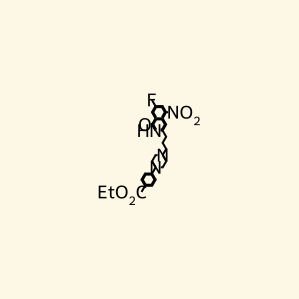 CCOC(=O)c1ccc(N2CCN(CCCc3cc4c([N+](=O)[O-])cc(F)cc4c(=O)[nH]3)CC2)cc1